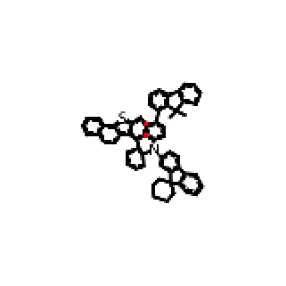 CC1(C)c2ccccc2-c2cccc(-c3ccc(N(c4ccc5c(c4)C4(CCCCC4)c4ccccc4-5)c4ccccc4-c4cccc5sc6c7ccccc7ccc6c45)cc3)c21